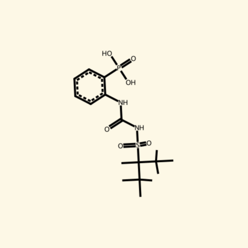 CC(C)(C)C(C)(C(C)(C)C)S(=O)(=O)NC(=O)Nc1ccccc1P(=O)(O)O